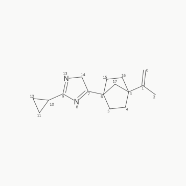 C=C(C)C12CCC(C3=NC(C4CC4)=NC3)(CC1)C2